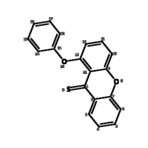 S=c1c2ccccc2oc2cccc(Oc3ccccc3)c12